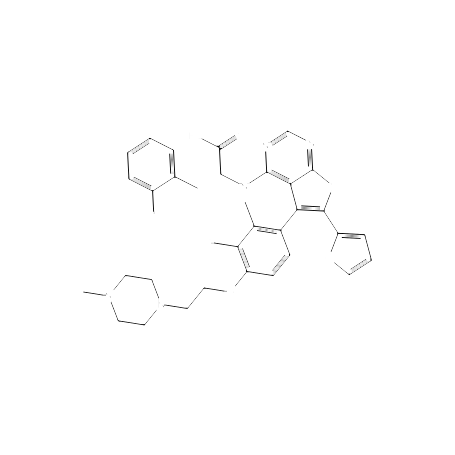 Cc1c(-c2c(-c3ccco3)sc3ncnc(N[C@H](Cc4ccccc4Cl)C(=O)O)c23)ccc(OCCN2CCN(C)CC2)c1Cl